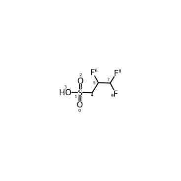 O=S(=O)(O)CC(F)C(F)F